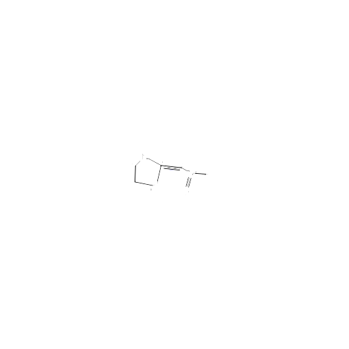 O=[N+]([O-])/C=C1/NCCS1